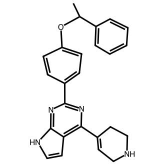 CC(Oc1ccc(-c2nc(C3=CCNCC3)c3cc[nH]c3n2)cc1)c1ccccc1